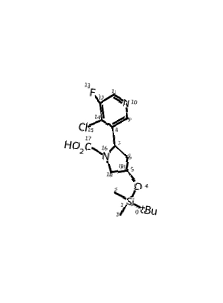 CC(C)(C)[Si](C)(C)O[C@@H]1CC(c2cncc(F)c2Cl)N(C(=O)O)C1